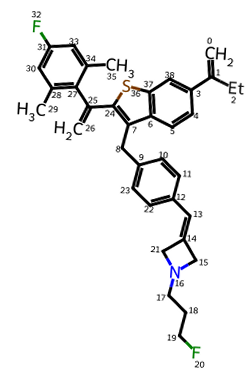 C=C(CC)c1ccc2c(Cc3ccc(C=C4CN(CCCF)C4)cc3)c(C(=C)c3c(C)cc(F)cc3C)sc2c1